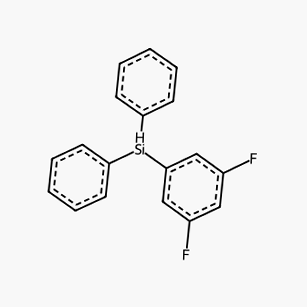 Fc1cc(F)cc([SiH](c2ccccc2)c2ccccc2)c1